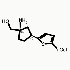 CCCCCCCCc1ccc([C@H]2CC[C@](N)(CO)C2)s1